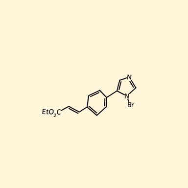 CCOC(=O)C=Cc1ccc(-c2cncn2Br)cc1